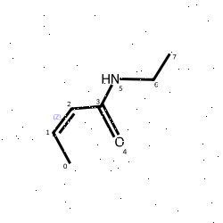 C/[C]=C\C(=O)NCC